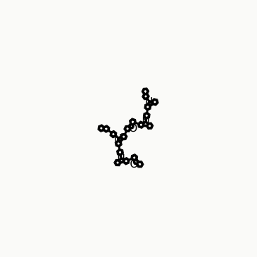 c1ccc2cc(-c3ccc(-n4c5ccc(-c6ccc(-n7c8ccccc8c8ccc(-c9cccc%10c9oc9ccccc9%10)cc87)cc6)cc5c5ccc(-c6ccc7c(c6)oc6c(-c8ccc9c%10ccccc%10n(-c%10ccc(-c%11ccc%12c(c%11)c%11ccccc%11n%12-c%11ccc%12ccccc%12c%11)cc%10)c9c8)cccc67)cc54)cc3)ccc2c1